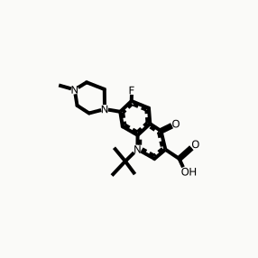 CN1CCN(c2cc3c(cc2F)c(=O)c(C(=O)O)cn3C(C)(C)C)CC1